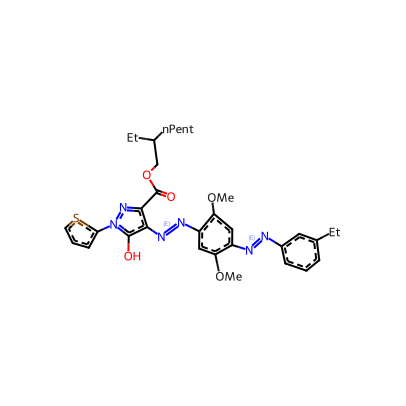 CCCCCC(CC)COC(=O)c1nn(-c2cccs2)c(O)c1/N=N/c1cc(OC)c(/N=N/c2cccc(CC)c2)cc1OC